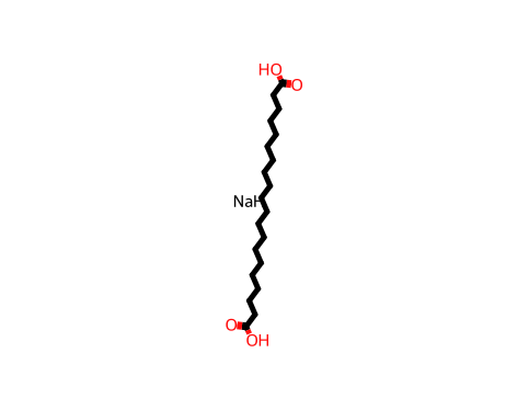 O=C(O)CCCCCCCCCCCCCCCCCCC(=O)O.[NaH]